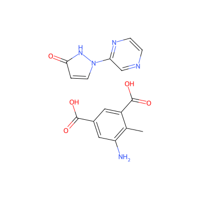 Cc1c(N)cc(C(=O)O)cc1C(=O)O.O=c1ccn(-c2cnccn2)[nH]1